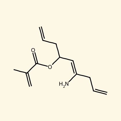 C=CCC(N)=CC(CC=C)OC(=O)C(=C)C